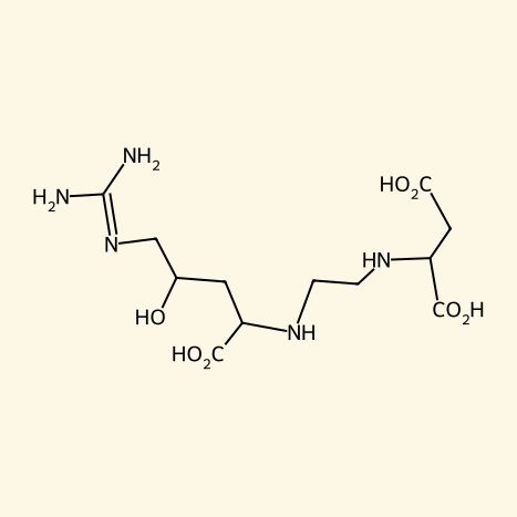 NC(N)=NCC(O)CC(NCCNC(CC(=O)O)C(=O)O)C(=O)O